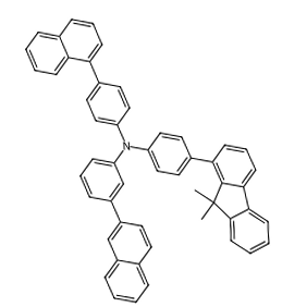 CC1(C)c2ccccc2-c2cccc(-c3ccc(N(c4ccc(-c5cccc6ccccc56)cc4)c4cccc(-c5ccc6ccccc6c5)c4)cc3)c21